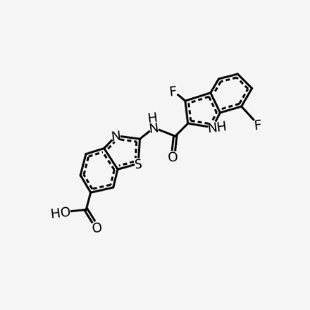 O=C(O)c1ccc2nc(NC(=O)c3[nH]c4c(F)cccc4c3F)sc2c1